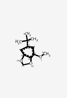 COc1cc(C(C)(C)C)cc2c1OCO2